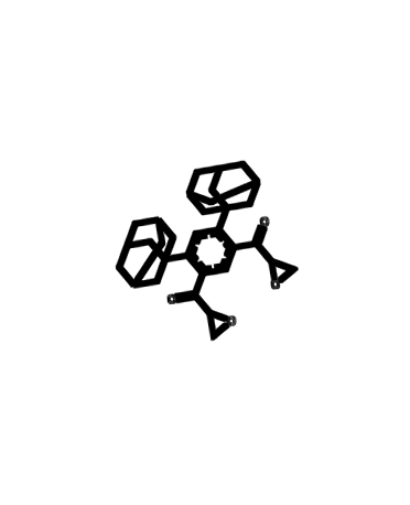 O=C(c1cc(C(=O)C2CO2)c(C23CC4CC(CC(C4)C2)C3)cc1C12CC3CC(CC(C3)C1)C2)C1CO1